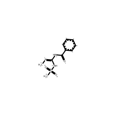 CN=C(NC(=O)c1ccccc1)NS(C)(=O)=O